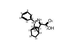 O=C(O)c1nn(-c2ccccc2)c2c1C1CCC2C1